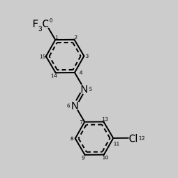 FC(F)(F)c1ccc(/N=N/c2cccc(Cl)c2)cc1